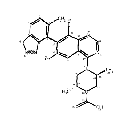 Cc1ccc2[nH]ncc2c1-c1c(Cl)cc2c(N3C[C@@H](C)N(C(=O)O)C[C@@H]3C)ncnc2c1F